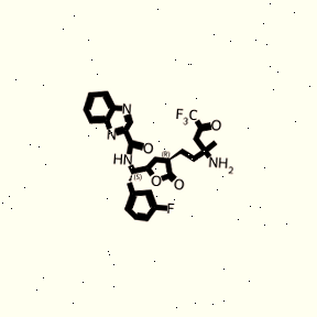 CC(N)(CC[C@@H]1CC([C@H](Cc2cccc(F)c2)NC(=O)c2cnc3ccccc3n2)OC1=O)CC(=O)C(F)(F)F